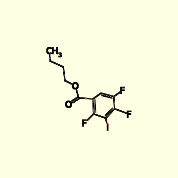 CCCCOC(=O)c1cc(F)c(F)c(I)c1F